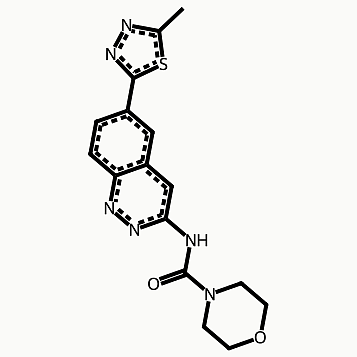 Cc1nnc(-c2ccc3nnc(NC(=O)N4CCOCC4)cc3c2)s1